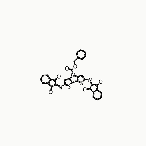 O=C(OCc1ccccc1)n1c2cc(N=c3c(=O)c4ccccc4c3=O)sc2c2sc(N=c3c(=O)c4ccccc4c3=O)cc21